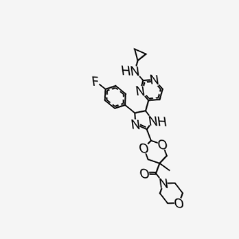 CC1(C(=O)N2CCOCC2)COC(C2=NC(c3ccc(F)cc3)C(c3ccnc(NC4CC4)n3)N2)OC1